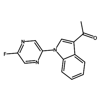 CC(=O)c1cn(-c2cnc(F)cn2)c2ccccc12